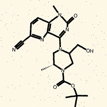 C[C@@H]1CN(c2nc(=O)n(C)c3ccc(C#N)nc23)C(CO)CN1C(=O)OC(C)(C)C